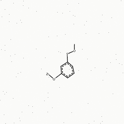 COSc1cccc([O][Zr])c1